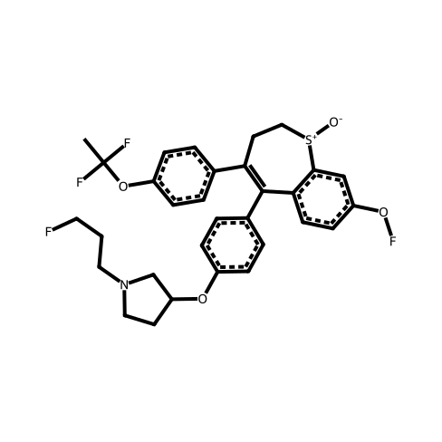 CC(F)(F)Oc1ccc(C2=C(c3ccc(OC4CCN(CCCF)C4)cc3)c3ccc(OF)cc3[S+]([O-])CC2)cc1